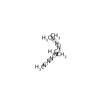 CC(C)N1CCC(N2CCCN(C3CC3C(C)(C)N3CCC(N4CCN(C5CCN(C)CC5)CC4)CC3)CC2)CC1